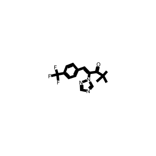 CC(C)(C)C(=O)C(=Cc1ccc(C(F)(F)F)cc1)n1cncn1